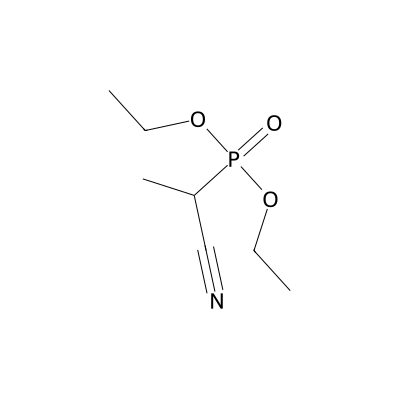 CCOP(=O)(OCC)C(C)C#N